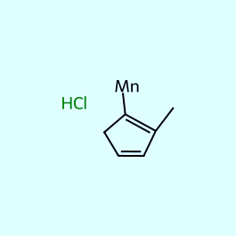 CC1=[C]([Mn])CC=C1.Cl